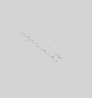 CCCCCCCCCCOC(=O)CCCN1CCNCC1